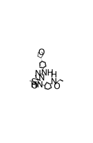 C=CC(=O)Nc1cccc(Nc2nc(Nc3ccc([C@@H]4CCOC4)cc3)ncc2[S+](C)[O-])c1